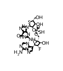 Nc1nc2c(nnn2[C@@H]2S[C@H](CO)[C@@H](O)[C@H]2OP(=O)(S)OC[C@H]2O[C@@H](c3cnn4c(N)ncnc34)[C@@H](F)[C@@H]2O)c(=O)[nH]1